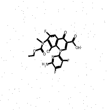 CCOC(=O)N(C)c1c(F)cc2c(=O)c(C(=O)O)cn(-c3nc(N)c(F)cc3F)c2c1Cl